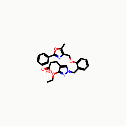 CCOc1nn(Cc2ccccc2OCc2nc(-c3ccccc3)oc2C)cc1CCC(=O)O